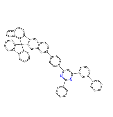 c1ccc(-c2cccc(-c3cc(-c4ccc(-c5ccc6cc7c(cc6c5)C5(c6ccccc6-c6ccccc65)c5c-7ccc6ccccc56)cc4)nc(-c4ccccc4)n3)c2)cc1